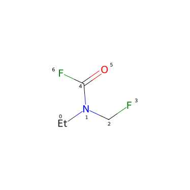 CCN(CF)C(=O)F